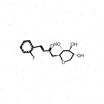 O=C(/C=C/c1ccccc1F)C[C@@H]1OC[C@@H](O)[C@H](O)[C@H]1O